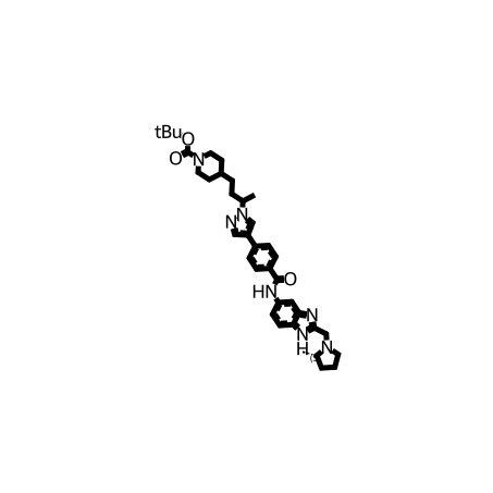 CC(CCC1CCN(C(=O)OC(C)(C)C)CC1)n1cc(-c2ccc(C(=O)Nc3ccc4[nH]c(CN5CCC[C@@H]5C)nc4c3)cc2)cn1